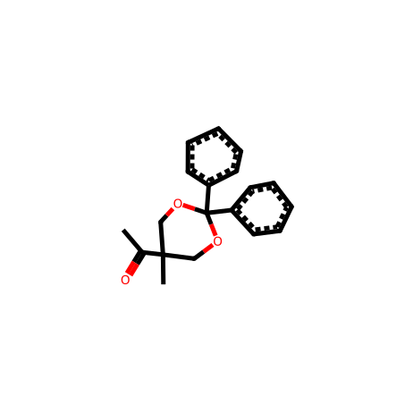 CC(=O)C1(C)COC(c2ccccc2)(c2ccccc2)OC1